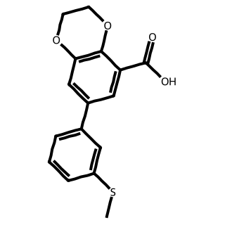 CSc1cccc(-c2cc3c(c(C(=O)O)c2)OCCO3)c1